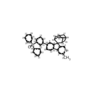 Cc1cc2c(cn1)C1(c3cc(-c4cccc(P(=O)(c5ccccc5)c5ccccc5)c4)ccc3-2)C2CC3CC(C2)CC1C3